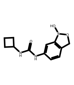 O=C(Nc1ccc2c(c1)B(O)OC2)NC1CCC1